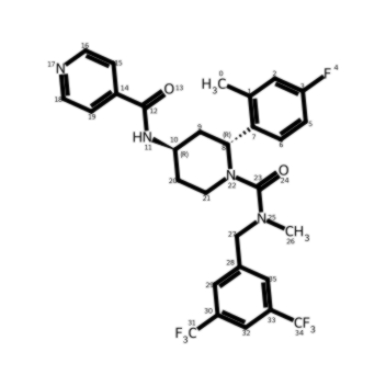 Cc1cc(F)ccc1[C@H]1C[C@H](NC(=O)c2ccncc2)CCN1C(=O)N(C)Cc1cc(C(F)(F)F)cc(C(F)(F)F)c1